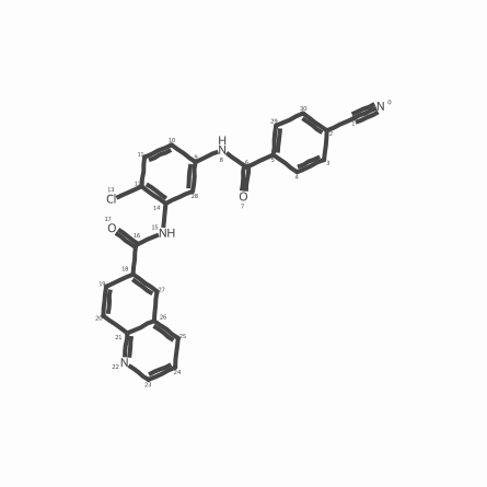 N#Cc1ccc(C(=O)Nc2ccc(Cl)c(NC(=O)c3ccc4ncccc4c3)c2)cc1